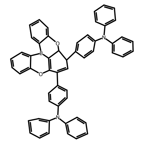 C1=C(c2ccc(N(c3ccccc3)c3ccccc3)cc2)C2=C3B(c4ccccc4O2)c2ccccc2OC3C1c1ccc(N(c2ccccc2)c2ccccc2)cc1